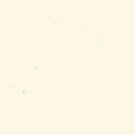 CC1(C)c2ccccc2-c2ccc(-n3c4ccccc4c4cc(-c5cc(Br)cc(-c6ccc7c(c6)c6ccccc6n7-c6cccc7c6c6ccccc6n7-c6ccccc6)c5)ccc43)cc21